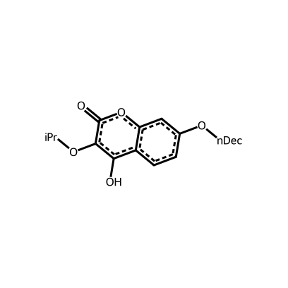 CCCCCCCCCCOc1ccc2c(O)c(OC(C)C)c(=O)oc2c1